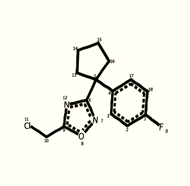 Fc1ccc(C2(c3noc(CCl)n3)CCCC2)cc1